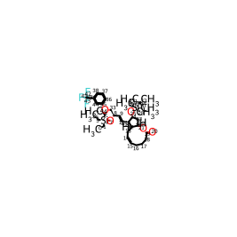 CC[Si](CC)(CC)O[C@H](/C=C/[C@@H]1[C@H]2C/C=C\CCCC(=O)O[C@H]2C[C@H]1O[Si](C)(C)C(C)(C)C)COc1cccc(C(F)(F)F)c1